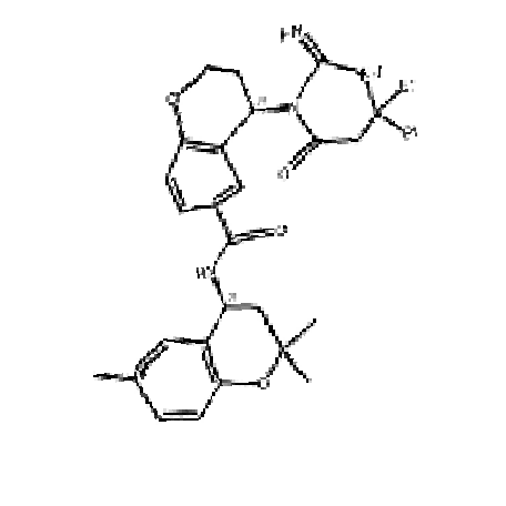 CCC1(CC)CC(=O)N([C@@H]2CCOc3ccc(C(=O)N[C@H]4CC(C)(C)Oc5ccc(C)cc54)cc32)C(=N)N1